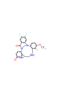 O=C1c2cc(F)c(F)cc2N2CN1c1ccc(=O)[nH]c1CCNCc1c2ccc(OC(F)(F)F)c1F